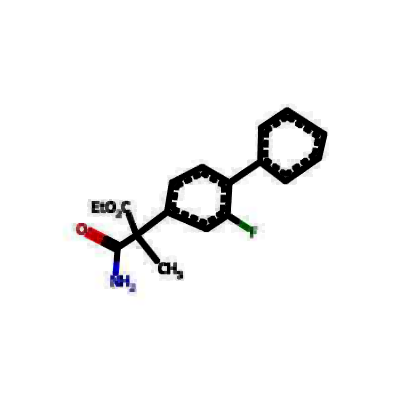 CCOC(=O)C(C)(C(N)=O)c1ccc(-c2ccccc2)c(F)c1